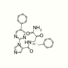 NC(=O)C(=O)[C@H](Cc1ccccc1)NC(=O)c1cncn1-c1ncc(-c2ccccc2)cn1